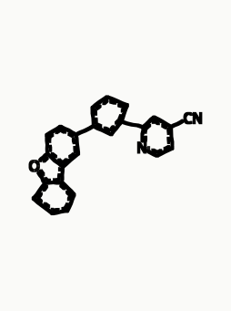 N#Cc1ccnc(-c2cccc(-c3ccc4oc5ccccc5c4c3)c2)c1